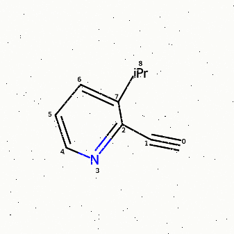 C#Cc1ncccc1C(C)C